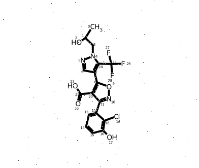 CC(O)Cn1ncc(-c2onc(-c3cccc(O)c3Cl)c2C(=O)O)c1C(F)(F)F